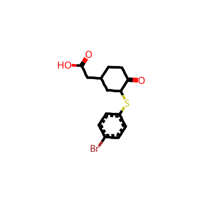 O=C(O)CC1CCC(=O)C(Sc2ccc(Br)cc2)C1